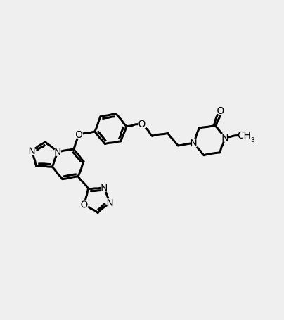 CN1CCN(CCCOc2ccc(Oc3cc(-c4nnco4)cc4cncn34)cc2)CC1=O